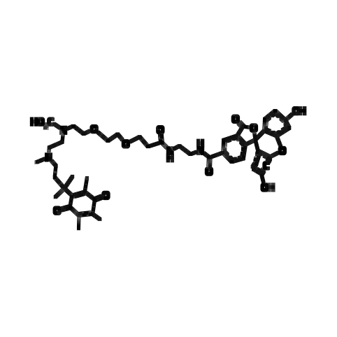 CC1=C(C)C(=O)C(C(C)(C)CCN(C)CCN(CCOCCOCCC(=O)NCCNC(=O)c2ccc3c(c2)C(=O)OC32c3ccc(O)cc3Oc3cc(O)ccc32)C(=O)O)=C(C)C1=O